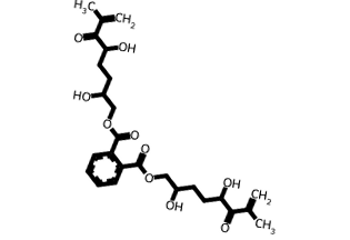 C=C(C)C(=O)C(O)CCC(O)COC(=O)c1ccccc1C(=O)OCC(O)CCC(O)C(=O)C(=C)C